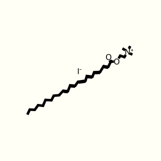 CCCCCCCCCC=CC=CC=CC=CC=CC=CC(=O)OCC[N+](C)(C)C.[I-]